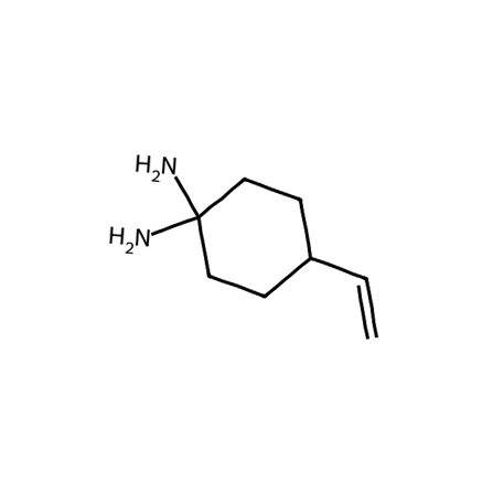 C=CC1CCC(N)(N)CC1